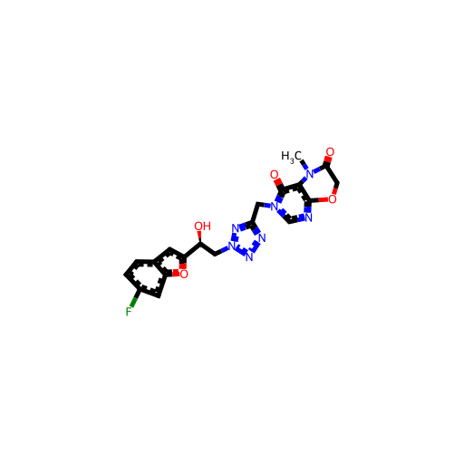 CN1C(=O)COc2ncn(Cc3nnn(C[C@H](O)c4cc5ccc(F)cc5o4)n3)c(=O)c21